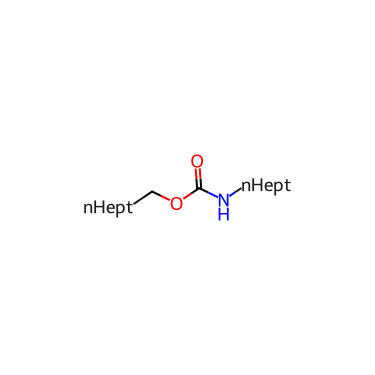 CCCCCCCCOC(=O)NCCCCCCC